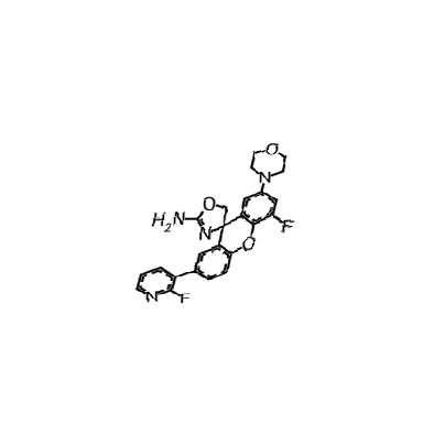 NC1=N[C@@]2(CO1)c1cc(-c3cccnc3F)ccc1Oc1c(F)cc(N3CCOCC3)cc12